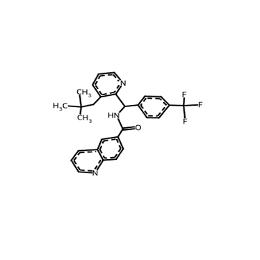 CC(C)(C)Cc1cccnc1C(NC(=O)c1ccc2ncccc2c1)c1ccc(C(F)(F)F)cc1